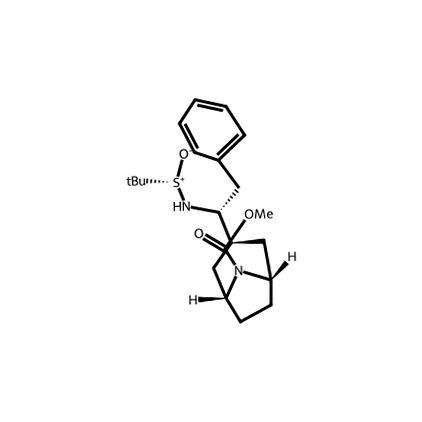 COC(=O)N1[C@@H]2CC[C@H]1C[C@H]([C@@H](Cc1ccccc1)N[S@@+]([O-])C(C)(C)C)C2